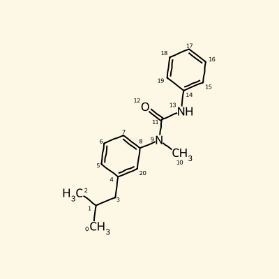 CC(C)Cc1cccc(N(C)C(=O)Nc2ccccc2)c1